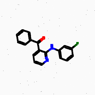 O=C(c1ccccc1)c1cccnc1Nc1cccc(F)c1